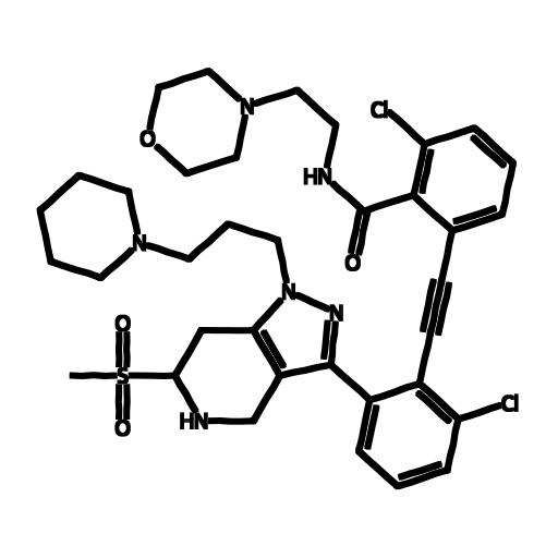 CS(=O)(=O)C1Cc2c(c(-c3cccc(Cl)c3C#Cc3cccc(Cl)c3C(=O)NCCN3CCOCC3)nn2CCCN2CCCCC2)CN1